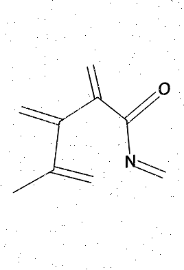 C=NC(=O)C(=C)C(=C)C(=C)C